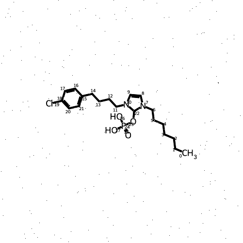 CCCCCCCN1C=CN(CCCCc2ccc(Cl)cc2)C1OP(=O)(O)O